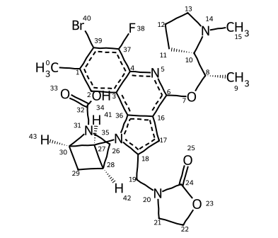 Cc1cc2c(nc(O[C@@H](C)[C@@H]3CCCN3C)c3cc(CN4CCOC4=O)n([C@H]4[C@@H]5C[C@H]4N(C(=O)O)C5)c32)c(F)c1Br